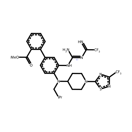 COC(=O)c1ccccc1-c1ccc(N(CC(C)C)C2CCN(c3nc(C(F)(F)F)ns3)CC2)c(N/C(N)=N/C(=N)C(F)(F)F)c1